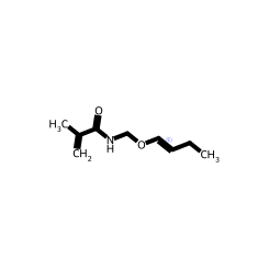 C=C(C)C(=O)NCO/C=C/CC